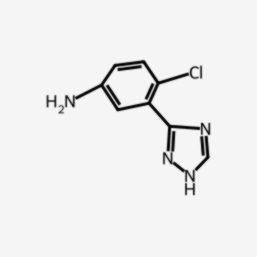 Nc1ccc(Cl)c(-c2nc[nH]n2)c1